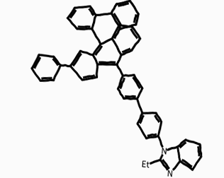 CCc1nc2ccccc2n1-c1ccc(-c2ccc(-c3c4ccccc4c(-c4ccccc4-c4ccccc4)c4cc(-c5ccccc5)ccc34)cc2)cc1